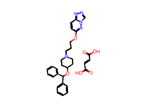 O=C(O)/C=C/C(=O)O.c1ccc(C(OC2CCN(CCCOc3ccc4nncn4n3)CC2)c2ccccc2)cc1